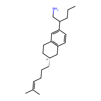 CCCC(CN)c1ccc2c(c1)CC[C@@H](CCCC=C(C)C)C2